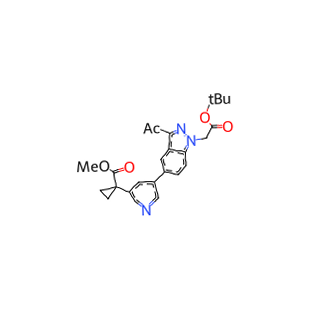 COC(=O)C1(c2cncc(-c3ccc4c(c3)c(C(C)=O)nn4CC(=O)OC(C)(C)C)c2)CC1